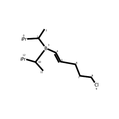 CC(C)C(C)B(/C=C/CCCCl)C(C)C(C)C